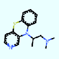 CC(CN(C)C)N1c2ccccc2Sc2ccncc21